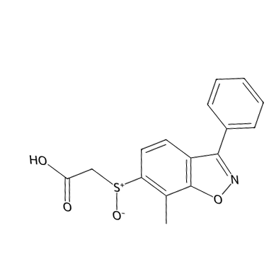 Cc1c([S+]([O-])CC(=O)O)ccc2c(-c3ccccc3)noc12